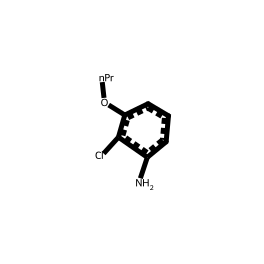 CCCOc1cccc(N)c1Cl